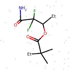 CCC(OC(=O)C(C)(C)CC)C(F)(F)C(N)=O